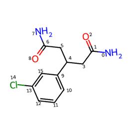 NC(=O)CC(CC(N)=O)c1cccc(Cl)c1